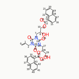 C=CCn1c(=O)n(CC(O)COC(=O)c2cccc3ccccc23)c(=O)n(CC(CO)OC(=O)c2cccc3ccccc23)c1=O